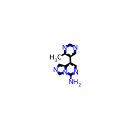 Cc1ncncc1-c1cnc(N)n2cncc12